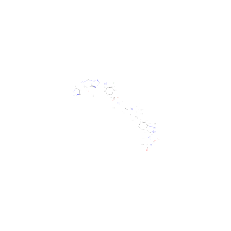 CC(C)Oc1c(-c2cn[nH]c2)ncn2nc(Nc3ccc(S(=O)(=O)N4CCC[C@@H](CN5CC[C@@H](c6ccc7c(N8CCC(=O)NC8=O)nn(C)c7c6)CC5(C)C)C4)cc3F)nc12